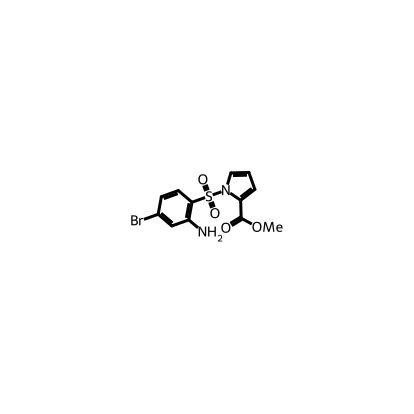 COC(=O)c1cccn1S(=O)(=O)c1ccc(Br)cc1N